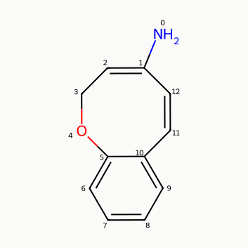 NC1=CCOc2ccccc2C=C1